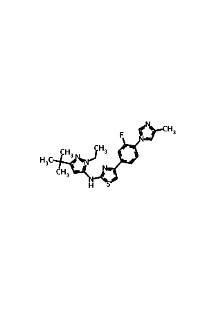 CCn1nc(C(C)(C)C)cc1Nc1nc(-c2ccc(-n3cnc(C)c3)c(F)c2)cs1